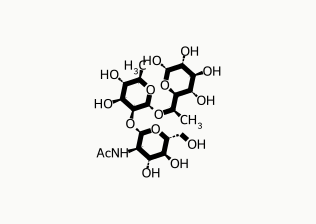 CC(=O)N[C@H]1[C@H](O[C@@H]2[C@@H](O[C@H](C)[C@H]3O[C@H](O)[C@H](O)[C@@H](O)[C@@H]3O)O[C@H](C)[C@@H](O)[C@@H]2O)O[C@H](CO)[C@@H](O)[C@@H]1O